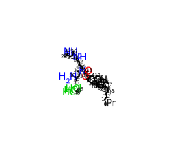 CC(C)CCC[C@@H](C)[C@H]1CC[C@H]2[C@@H]3CC=C4C[C@@H](OC(=O)N(CCCCNC(C)CC(C)N)C(C)CC(C)N)CC[C@]4(C)[C@H]3CC[C@]12C.Cl.Cl.Cl